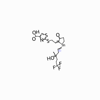 C[C@@](O)(C/C=C/[C@H]1CCC(=O)[C@@H]1CCSc1nc(C(=O)O)cs1)CCC(F)(F)F